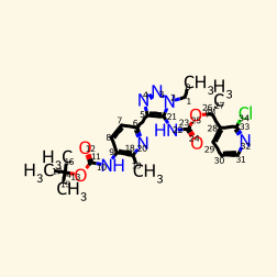 CCn1nnc(-c2ccc(NC(=O)OC(C)(C)C)c(C)n2)c1NC(=O)O[C@H](C)c1cccnc1Cl